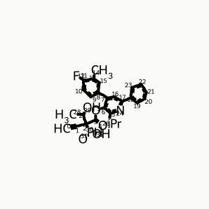 C#CC(C(=O)Oc1c(-c2ccc(F)c(C)c2)cc(-c2ccccc2)nc1C(C)C)(C(C)O)[PH](=O)O